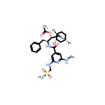 CCC(C)Nc1cc(C(=O)N[C@@H](Cc2ccccc2)[C@H](OC(=O)C(F)(F)F)[C@@H]2N[C@H]3CC[C@H]2CC3)cc(NCS(C)(=O)=O)n1